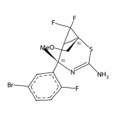 COC[C@@]12SC(N)=N[C@](C)(c3cc(Br)ccc3F)C1C2(F)F